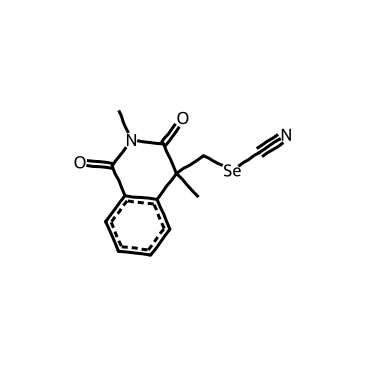 CN1C(=O)c2ccccc2C(C)(C[Se]C#N)C1=O